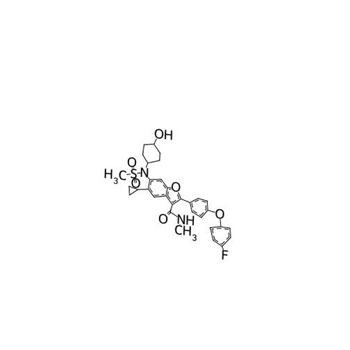 CNC(=O)c1c(-c2ccc(Oc3ccc(F)cc3)cc2)oc2cc(N(C3CCC(O)CC3)S(C)(=O)=O)c(C3CC3)cc12